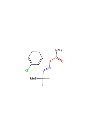 CNC(=O)O/N=C/C(C)(C)SC.Clc1ccccc1